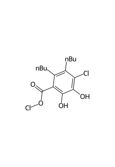 CCCCc1c(Cl)c(O)c(O)c(C(=O)OCl)c1CCCC